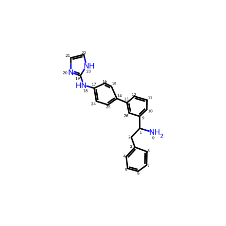 NC(Cc1ccccc1)c1cccc(-c2ccc(Nc3ncc[nH]3)cc2)c1